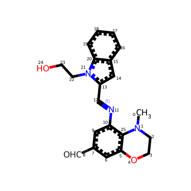 CN1CCOc2cc(C=O)cc(/N=C/c3cc4ccccc4n3CCO)c21